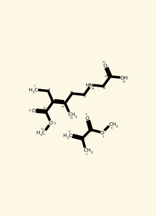 C=C(C)C(=O)OC.CCC(C(=O)OC)=C(C)CCNCC(=O)O